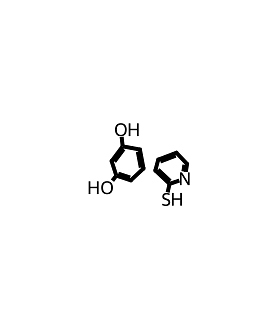 Oc1cccc(O)c1.Sc1ccccn1